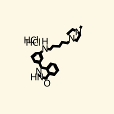 CN1CCN(CCCCCNc2cccc(-c3n[nH]c(=O)c4ccccc34)c2)CC1.Cl.Cl